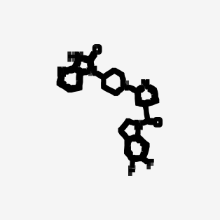 O=C(c1ccnc(N2CCC(n3c(=O)[nH]c4ncccc43)CC2)c1)N1CCc2cc(F)c(F)cc21